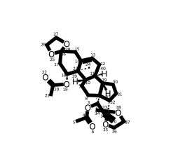 C#CC(OC(C)=O)[C@]12CC[C@H]3[C@@H](CC=C4CC5(C[C@@H](OC(C)=O)[C@@]43C)OCCO5)[C@@H]1CC[C@@H]2C1(C)OCCO1